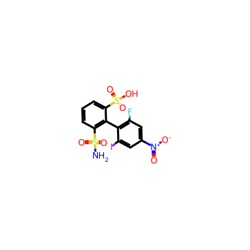 NS(=O)(=O)c1cccc(S(=O)(=O)O)c1-c1c(F)cc([N+](=O)[O-])cc1I